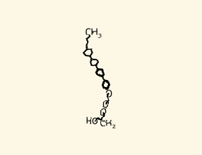 C=C(CO)COCOCCOc1ccc(-c2ccc(C3CCC(C4CCC(CCCCC)CC4)CC3)cc2)cc1